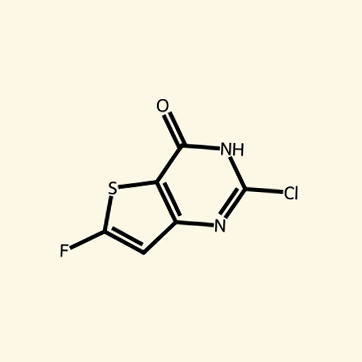 O=c1[nH]c(Cl)nc2cc(F)sc12